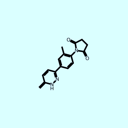 C=C1C=CC(c2ccc(N3C(=O)CCC3=O)c(C)c2)=NN1